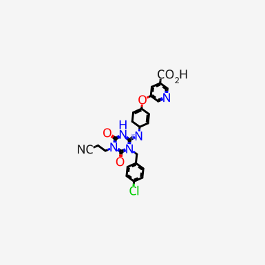 N#CCCn1c(=O)[nH]/c(=N\C2C=CC(Oc3cncc(C(=O)O)c3)=CC2)n(Cc2ccc(Cl)cc2)c1=O